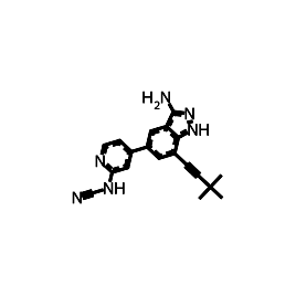 CC(C)(C)C#Cc1cc(-c2ccnc(NC#N)c2)cc2c(N)n[nH]c12